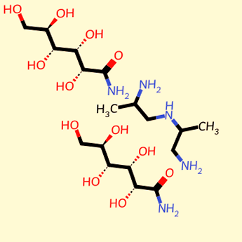 CC(N)CNC(C)CN.NC(=O)[C@H](O)[C@@H](O)[C@H](O)[C@H](O)CO.NC(=O)[C@H](O)[C@@H](O)[C@H](O)[C@H](O)CO